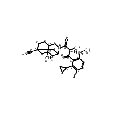 CNc1ccc(F)c(C2CC2)c1C(=N)C(C)C(=O)N1CC2CCC3(C#N)CC1CC2(C)C3